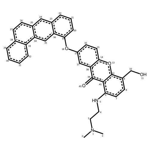 CN(C)CCNc1ccc(CO)c2oc3ccc(Oc4cccc5cc6ccc7ccccc7c6cc45)cc3c(=O)c12